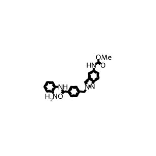 COC(=O)Nc1ccc2nn(Cc3ccc(C(=O)Nc4ccccc4N)cc3)cc2c1